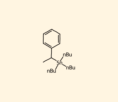 CCC[CH2][Sn]([CH2]CCC)([CH2]CCC)[CH](C)c1ccccc1